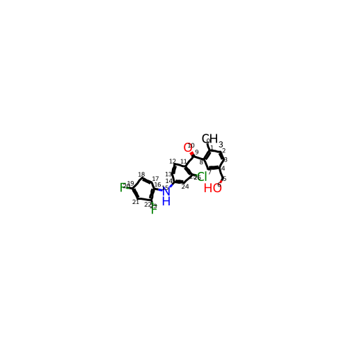 Cc1ccc(CO)cc1C(=O)c1ccc(Nc2ccc(F)cc2F)cc1Cl